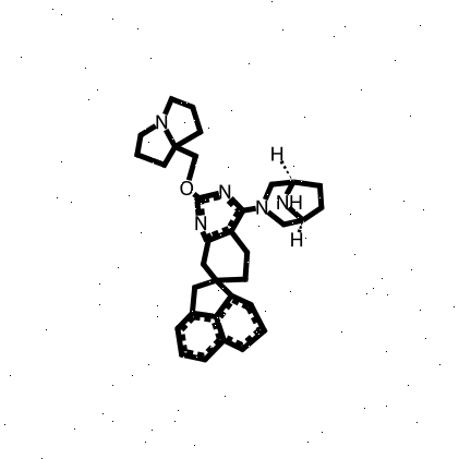 c1cc2c3c(cccc3c1)C1(CCc3c(nc(OCC45CCCN4CCC5)nc3N3C[C@H]4CC[C@@H](C3)N4)C1)C2